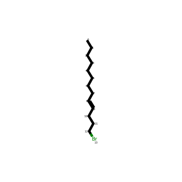 CCCCCCCCC=CCCCBr